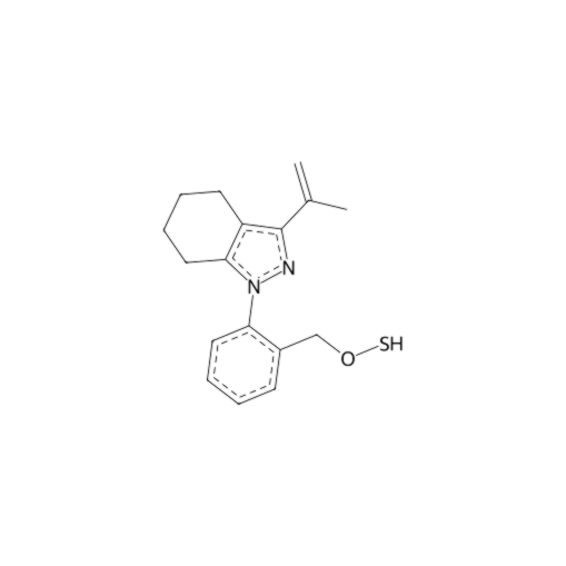 C=C(C)c1nn(-c2ccccc2COS)c2c1CCCC2